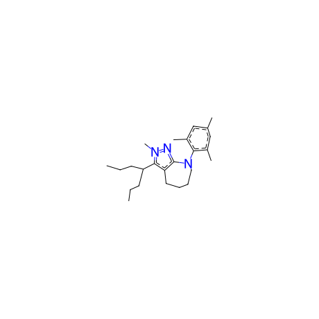 CCCC(CCC)c1c2c(nn1C)N(c1c(C)cc(C)cc1C)CCCC2